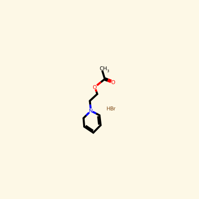 Br.CC(=O)OCCN1C=CC=CC1